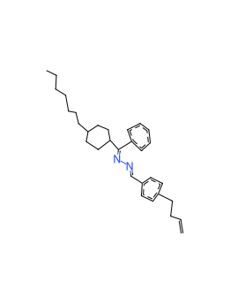 C=CCCc1ccc(C=NN=C(c2ccccc2)C2CCC(CCCCCCC)CC2)cc1